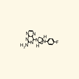 Nc1nc(N2C[C@@H]3C[C@H]2CN3c2ccc(F)cc2)c2nccnc2n1